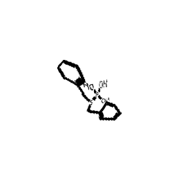 OP(O)(O)=S(Cc1ccccc1)Cc1ccccc1